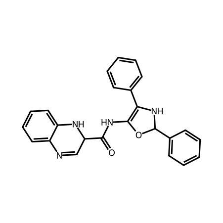 O=C(NC1=C(c2ccccc2)NC(c2ccccc2)O1)C1C=Nc2ccccc2N1